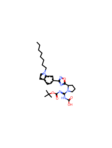 CCCCCCCCn1ccc2ccc(-c3noc(C4CCCN4C(=NC(=O)OC(C)(C)C)NC(=O)O)n3)cc21